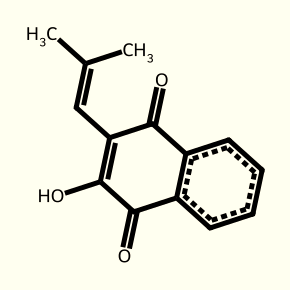 CC(C)=CC1=C(O)C(=O)c2ccccc2C1=O